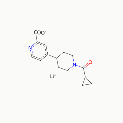 O=C([O-])c1cc(C2CCN(C(=O)C3CC3)CC2)ccn1.[Li+]